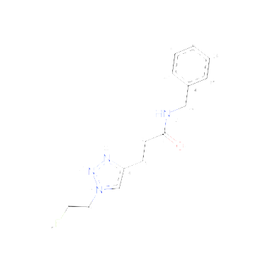 O=C(CCc1cn(CCF)nn1)NCc1ccccc1